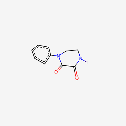 O=C1C(=O)N(c2ccccc2)CCN1I